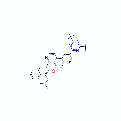 CC(C)Cc1c2c(cc3ccccc13)-c1nccc3c1c(cc1ccc(-c4nc(C(C)(C)C)nc(C(C)(C)C)n4)cc13)O2